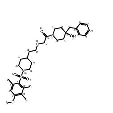 COc1cc(C)c(S(=O)(=O)N2CCC(CCOCC(=O)N3CCC(O)(Cc4ccccc4)CC3)CC2)c(C)c1C